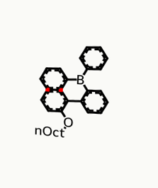 CCCCCCCCOc1ccccc1-c1ccccc1B(c1ccccc1)c1ccccc1